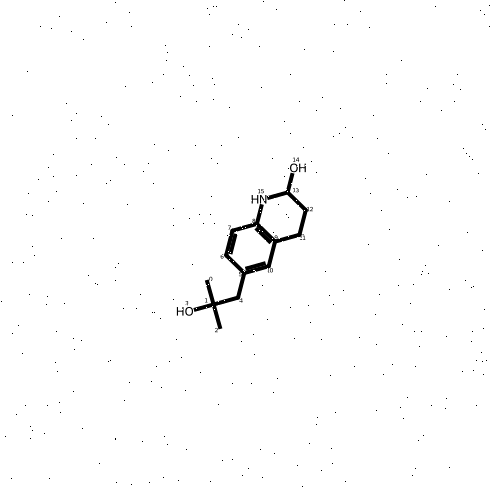 CC(C)(O)Cc1ccc2c(c1)[CH]CC(O)N2